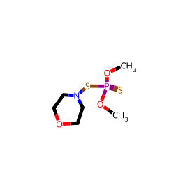 COP(=S)(OC)SN1CCOCC1